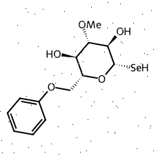 CO[C@@H]1[C@@H](O)[C@H]([SeH])O[C@H](COc2ccccc2)[C@H]1O